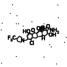 NC(=O)C1=C(O)C[C@@H]2CC3Cc4c(Cl)c(CN5CCC(C(F)(F)F)CC5)cc(O)c4C(=O)C3=C(O)[C@]2(O)C1=O